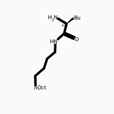 CCCCCCCCCCCCNC(=O)[C@@H](N)C(C)CC